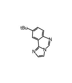 CC(C)(C)c1ccc2ncn3ccnc3c2c1